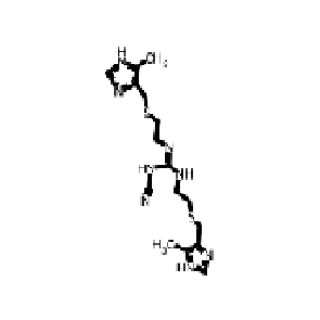 Cc1[nH]cnc1CSCC/N=C(\NC#N)NCCSCc1nc[nH]c1C